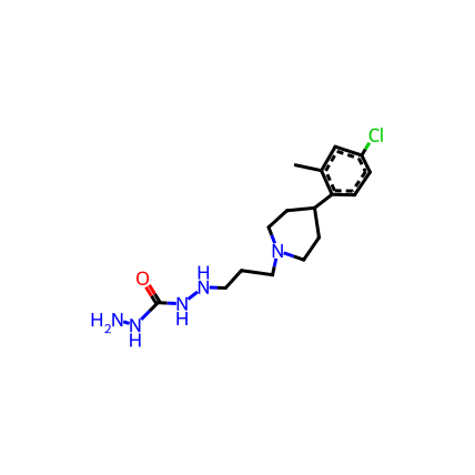 Cc1cc(Cl)ccc1C1CCN(CCCNNC(=O)NN)CC1